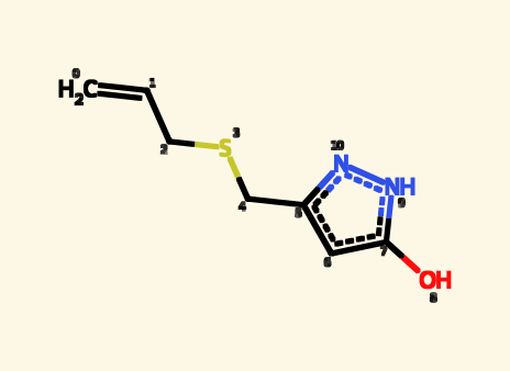 C=CCSCc1cc(O)[nH]n1